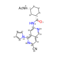 CC(=O)N[C@@H]1CCC[C@H](C(=O)Nc2cc3c(-n4cccc4)nc(C#N)cc3cn2)C1